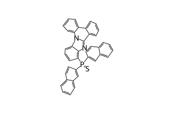 S=P(c1ccc2ccccc2c1)(c1ccc2ccccc2c1)c1cccc2c1nc1c3ccccc3c3ccccc3n21